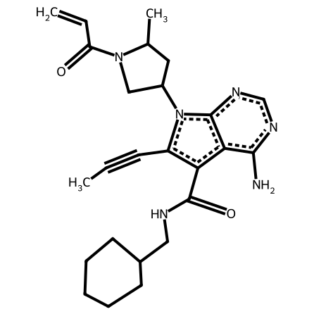 C=CC(=O)N1CC(n2c(C#CC)c(C(=O)NCC3CCCCC3)c3c(N)ncnc32)CC1C